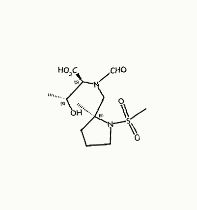 C[C@@H](O)[C@@H](C(=O)O)N(C=O)C[C@]1(C)CCCN1S(C)(=O)=O